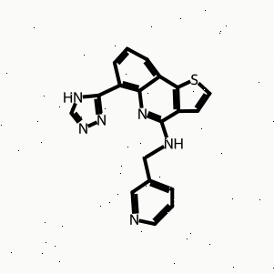 c1cncc(CNc2nc3c(-c4nnc[nH]4)cccc3c3sccc23)c1